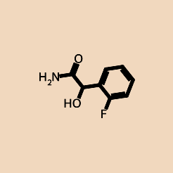 NC(=O)C(O)c1ccccc1F